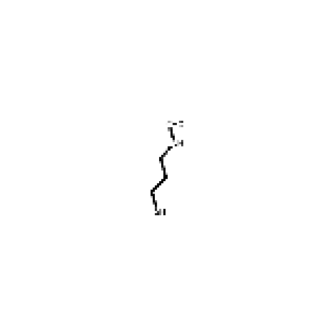 O=CNCCCS